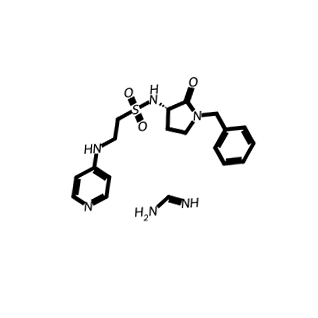 N=CN.O=C1[C@@H](NS(=O)(=O)CCNc2ccncc2)CCN1Cc1ccccc1